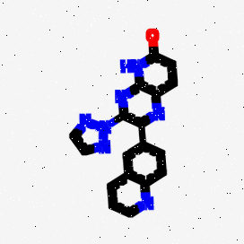 O=c1ccc2nc(-c3ccc4ncccc4c3)c(-n3nccn3)nc2[nH]1